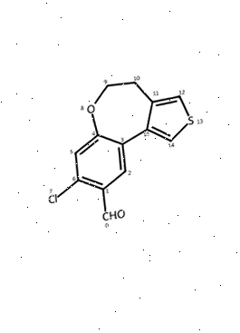 O=Cc1cc2c(cc1Cl)OCCc1cscc1-2